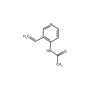 C=Cc1cnccc1NC(C)=O